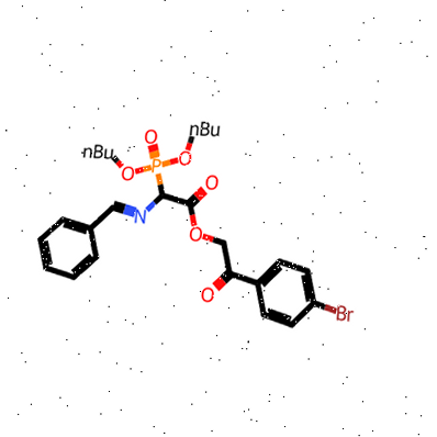 CCCCOP(=O)(OCCCC)C(N=Cc1ccccc1)C(=O)OCC(=O)c1ccc(Br)cc1